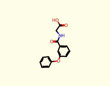 O=C(O)CNC(=O)c1cccc(Oc2ccccc2)c1